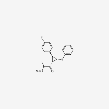 CON(C)C(=O)[C@H]1[C@H](Sc2ccccc2)[C@@H]1c1ccc(F)cc1